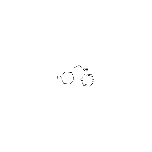 CCO.c1ccc(N2CCNCC2)cc1